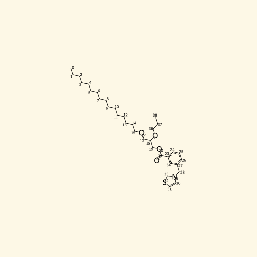 CCCCCCCCCCCCCCCCOCC(COC(=O)c1cccc(CN2C=CSC2)c1)OCCC